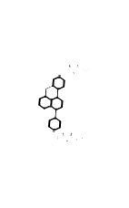 COc1ccc(-c2ccc3c4c(cccc24)Cc2cc(OC)ccc2-3)cc1